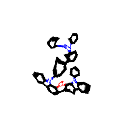 c1ccc(N(c2ccccc2)c2cccc(-c3ccc(-n4c5ccccc5c5ccc6c7ccc8c9ccccc9n(-c9ccccc9)c8c7oc6c54)cc3)c2)cc1